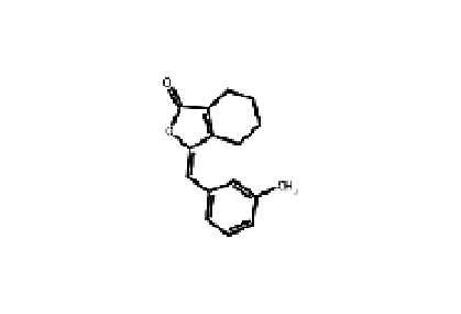 Cc1cccc(/C=C2/OC(=O)C3=C2CCCC3)c1